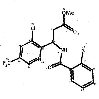 COC(=O)CC(NC(=O)c1ccccc1Br)c1ncc(C(F)(F)F)cc1Cl